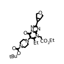 CCOC(=O)Cn1c(CC)c(N2CCN(C(=O)OC(C)(C)C)CC2)c(=O)n2nc(C3C4COCC43)nc12